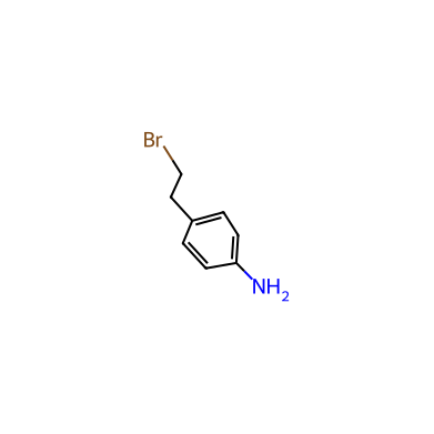 Nc1ccc(CCBr)cc1